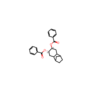 O=C(O[C@H]1CC2C3CCC(C3)C2C[C@@H]1OC(=O)c1ccccc1)c1ccccc1